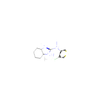 Clc1cscc1NC1=N[C@@H]2CCCC[C@@H]2N1